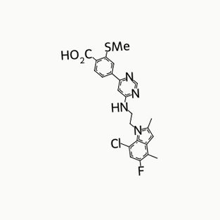 CSc1cc(-c2cc(NCCn3c(C)cc4c(C)c(F)cc(Cl)c43)ncn2)ccc1C(=O)O